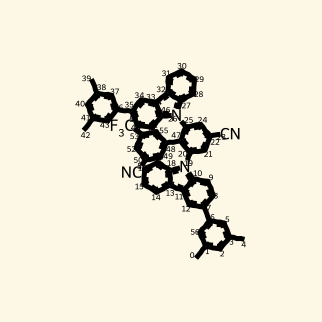 Cc1cc(C)cc(-c2ccc3c(c2)c2ccccc2n3-c2cc(C#N)cc(-n3c4ccccc4c4cc(-c5cc(C)cc(C)c5)ccc43)c2-c2cc(C#N)cc(C(F)(F)F)c2)c1